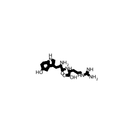 N=C(N)NCCCC(NC(=O)C(N)Cc1c[nH]c2ccc(O)cc12)C(=O)O